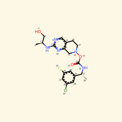 C[C@@H](CO)Nc1ncc2c(n1)CN(OC(=O)N[C@H](C)c1cc(F)cc(Cl)c1)CC2